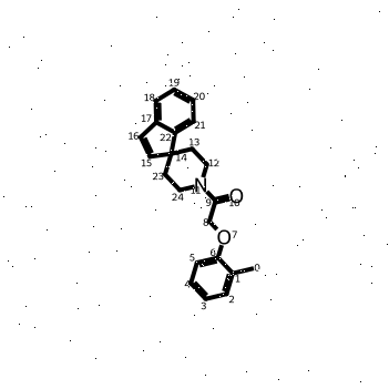 Cc1ccccc1OCC(=O)N1CCC2(C=Cc3ccccc32)CC1